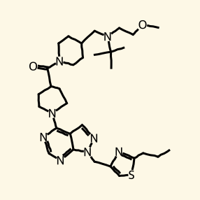 CCCc1nc(Cn2ncc3c(N4CCC(C(=O)N5CCC(CN(CCOC)C(C)(C)C)CC5)CC4)ncnc32)cs1